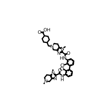 CN1CCc2c(nc(C(=O)Nc3cccc(-c4cccc(NC(=O)c5nc6c(n5C)CCN(CC5CCC(C(=O)O)CC5)C6)c4Cl)c3Cl)n2C)C1